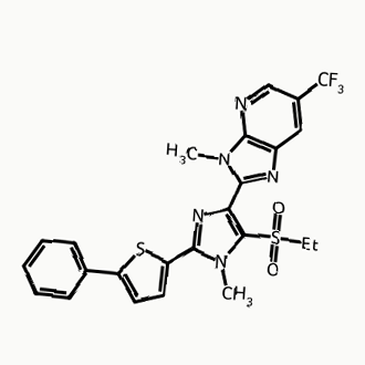 CCS(=O)(=O)c1c(-c2nc3cc(C(F)(F)F)cnc3n2C)nc(-c2ccc(-c3ccccc3)s2)n1C